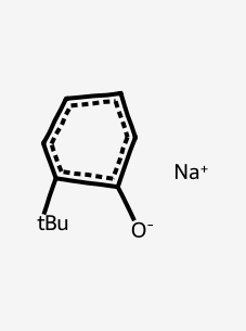 CC(C)(C)c1ccccc1[O-].[Na+]